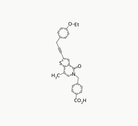 CCOc1ccc(CC#Cc2cc3c(=O)n(Cc4ccc(C(=O)O)cc4)cc(C)c3s2)cc1